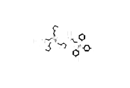 NCCC[Si](OCC1CCCO1)(OCC1CCCO1)OCC1CCCO1.NCCC[Si](Oc1ccc(Cl)cc1)(Oc1ccc(Cl)cc1)Oc1ccc(Cl)cc1